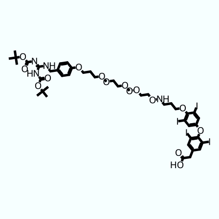 CC(C)(C)OC(=O)/N=C(/NCc1ccc(OCCCOOCCOOOCCONCCCOc2c(I)cc(Oc3c(I)cc(CC(=O)O)cc3I)cc2I)cc1)NC(=O)OC(C)(C)C